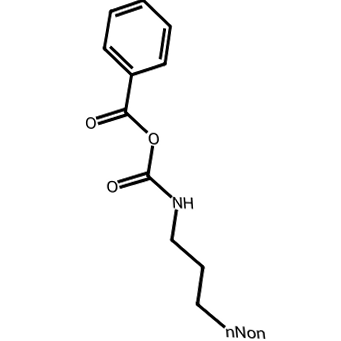 CCCCCCCCCCCCNC(=O)OC(=O)c1ccccc1